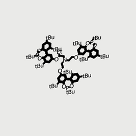 CCC(CN(CCOc1cc(C(C)(C)C)c2op(C(C)(C)C)oc3cc(C(C)(C)C)cc(C(C)(C)C)c3c2c1)CCOc1cc(C(C)(C)C)c2op(C(C)(C)C)oc3cc(C(C)(C)C)cc(C(C)(C)C)c3c2c1)Oc1cc(C(C)(C)C)c2op(C(C)(C)C)oc3cc(C(C)(C)C)cc(C(C)(C)C)c3c2c1